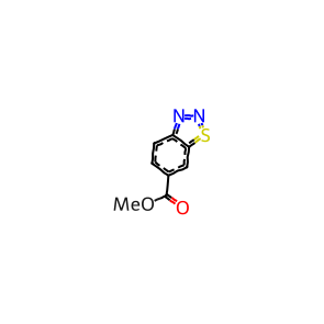 COC(=O)c1ccc2nnsc2c1